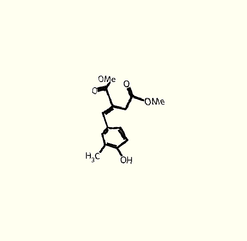 COC(=O)C/C(=C\c1ccc(O)c(C)c1)C(=O)OC